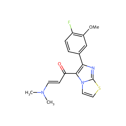 COc1cc(-c2nc3sccn3c2C(=O)C=CN(C)C)ccc1F